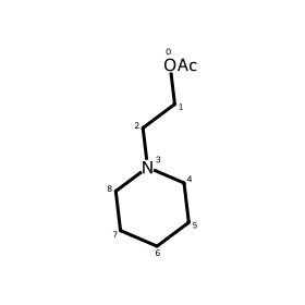 [CH2]C(=O)OCCN1CCCCC1